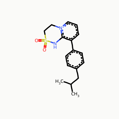 CC(C)Cc1ccc(-c2ccc[n+]3c2NS(=O)(=O)CC3)cc1